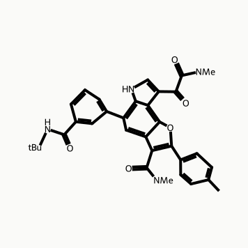 CNC(=O)C(=O)c1c[nH]c2c(-c3cccc(C(=O)NC(C)(C)C)c3)cc3c(C(=O)NC)c(-c4ccc(C)cc4)oc3c12